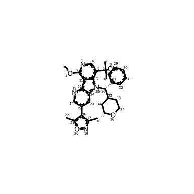 COc1ncc(C(C)(C)O)c2c1c1ncc(-c3c(C)noc3C)cc1n2[C@H](c1ccccc1)C1CCOCC1